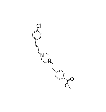 COC(=O)c1ccc(CCN2CCN(CC=Cc3ccc(Cl)cc3)CC2)cc1